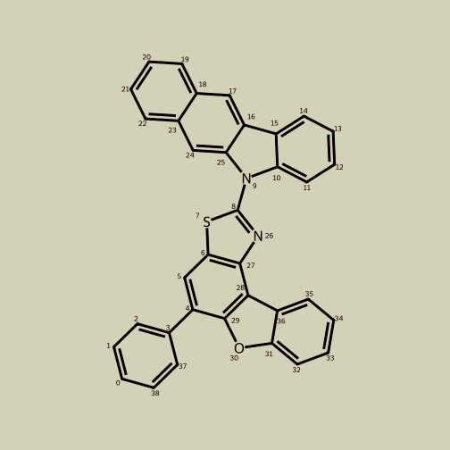 c1ccc(-c2cc3sc(-n4c5ccccc5c5cc6ccccc6cc54)nc3c3c2oc2ccccc23)cc1